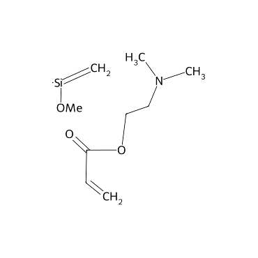 C=CC(=O)OCCN(C)C.C=[Si]OC